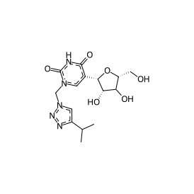 CC(C)c1cn(Cn2cc([C@@H]3O[C@H](CO)C(O)[C@@H]3O)c(=O)[nH]c2=O)nn1